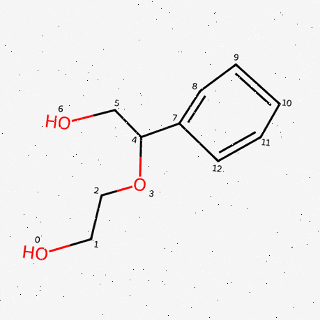 OCCOC(CO)c1ccccc1